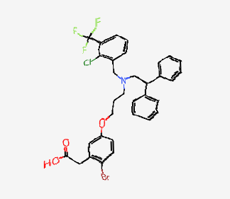 O=C(O)Cc1cc(OCCCN(Cc2cccc(C(F)(F)F)c2Cl)CC(c2ccccc2)c2ccccc2)ccc1Br